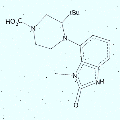 Cn1c(=O)[nH]c2cccc(N3CCN(C(=O)O)CC3C(C)(C)C)c21